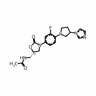 CC(=O)NC[C@H]1CN(c2ccc(N3CCC(n4ccnc4)C3)c(F)c2)C(=O)O1